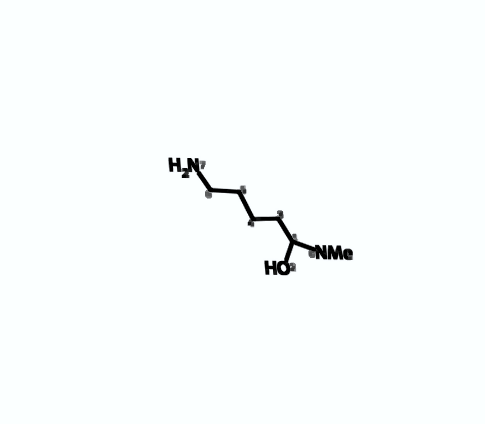 CNC(O)CCCCN